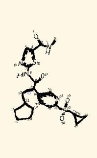 CNC(=O)c1cnc(NC(=O)/C(=C/C2CCCC2)c2ccc(S(=O)(=O)C3CC3)nc2)s1